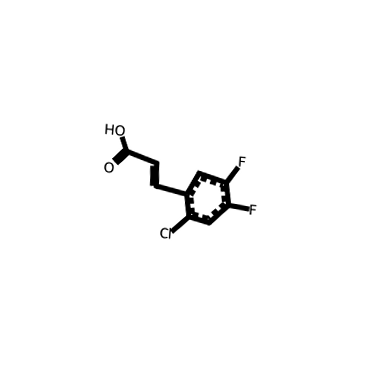 O=C(O)C=Cc1cc(F)c(F)cc1Cl